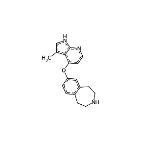 Cc1c[nH]c2nccc(Oc3ccc4c(c3)CCNCC4)c12